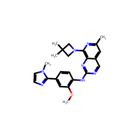 COc1cc(-c2nccn2C)ccc1Nc1ncc2cc(C)nc(N3CC(C)(C)C3)c2n1